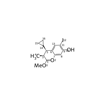 COC(=O)[C@@H](C)[C@H](c1ccc(O)c(I)c1)C1CC1